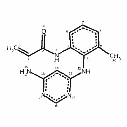 C=CC(=O)Nc1cccc(C)c1Nc1cc(N)ncn1